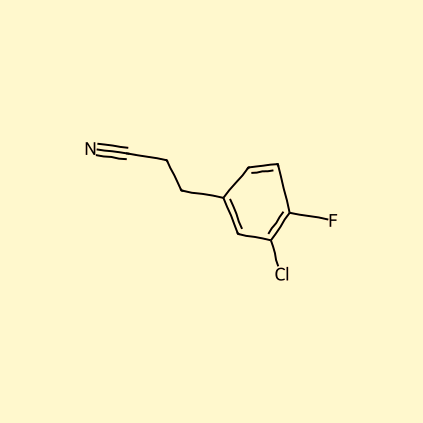 N#CCCc1ccc(F)c(Cl)c1